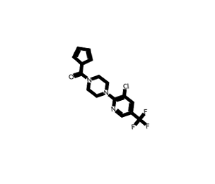 O=C(C1C=CC=C1)N1CCN(c2ncc(C(F)(F)F)cc2Cl)CC1